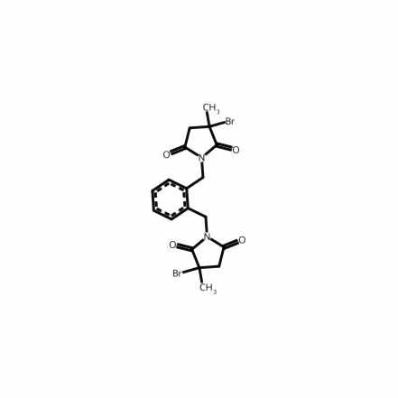 CC1(Br)CC(=O)N(Cc2ccccc2CN2C(=O)CC(C)(Br)C2=O)C1=O